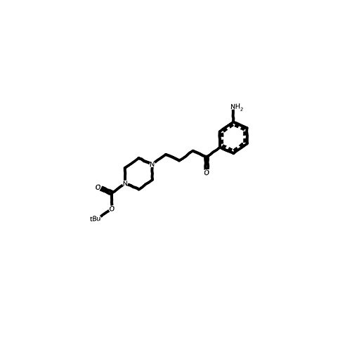 CC(C)(C)OC(=O)N1CCN(CCCC(=O)c2cccc(N)c2)CC1